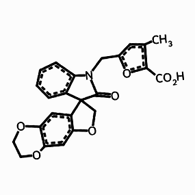 Cc1cc(CN2C(=O)C3(COc4cc5c(cc43)OCCO5)c3ccccc32)oc1C(=O)O